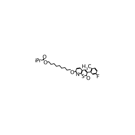 Cc1ccc(F)cc1-c1cc2ccc(OCCCCCCCCCOC(=O)C(C)C)nc2sc1=O